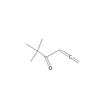 C=C=CC(=O)C(C)(C)C